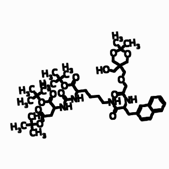 CC(C)(C)OC(=O)CC(NC(=O)NC(CCCCNC(=O)C(Cc1ccc2ccccc2c1)NC(=O)COCC1(CO)COC(C)(C)OC1)C(=O)OC(C)(C)C)C(=O)OC(C)(C)C